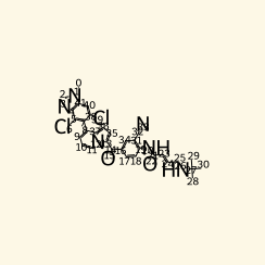 Cn1cnc2c(Cl)c(-c3cccn4c(C(=O)c5ccc(NC(=O)/C=C/CNC(C)(C)C)c(C#N)c5)ccc34)c(Cl)cc21